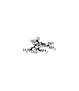 N=C(N)NCCC[C@H](NC(=O)[C@H](CC(N)=O)NC(=O)CN)C(=O)O